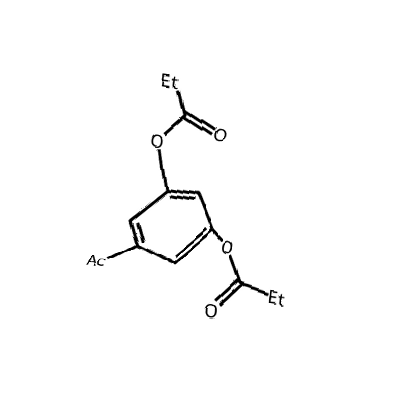 CCC(=O)Oc1cc(OC(=O)CC)cc(C(C)=O)c1